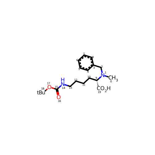 CN(Cc1ccccc1)[C@@H](CCCCNC(=O)OC(C)(C)C)C(=O)O